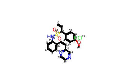 C=CC(c1ccc(OC)cc1)S(=O)(=O)Nc1ccccc1C=Cc1cnccn1.Cl